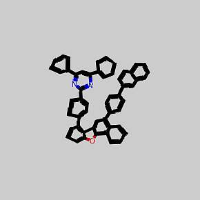 c1ccc(-c2cc(-c3ccccc3)nc(-c3ccc(-c4cccc5oc6c7ccccc7c(-c7ccc(-c8ccc9ccccc9c8)cc7)cc6c45)cc3)n2)cc1